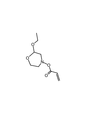 C=CC(=O)ON1CCOC(OCC)C1